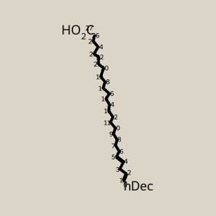 CCCCCCCCCCC=CCC=CCCCCCCCCCCCCCCCCCCCCCC(=O)O